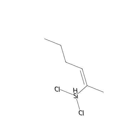 CCCC=C(C)[SiH](Cl)Cl